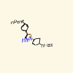 CCCCCC[C@H]1CC[C@H](N2NC=C(c3ccc(CCCCC)cc3)S2)CC1